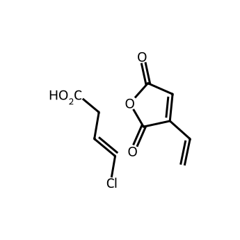 C=CC1=CC(=O)OC1=O.O=C(O)CC=CCl